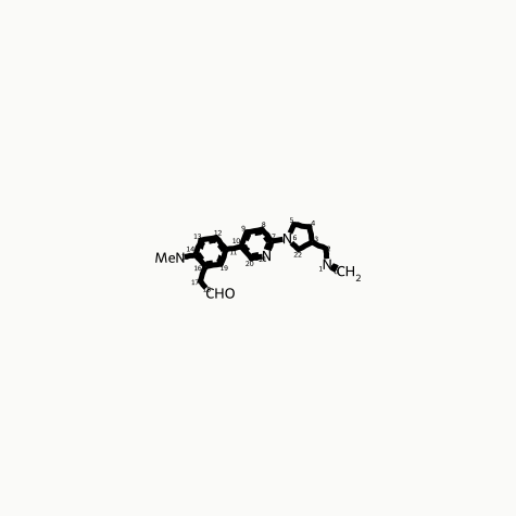 C=NCC1CCN(c2ccc(-c3ccc(NC)c(CC=O)c3)cn2)C1